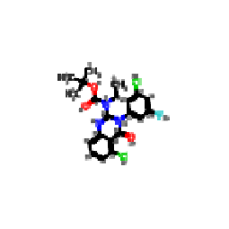 CCN(C(=O)OC(C)(C)C)c1nc2cccc(Cl)c2c(=O)n1-c1cc(F)cc(Cl)c1